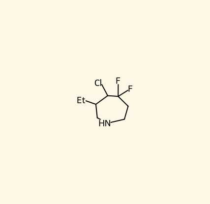 [CH2]CC1CNCCC(F)(F)C1Cl